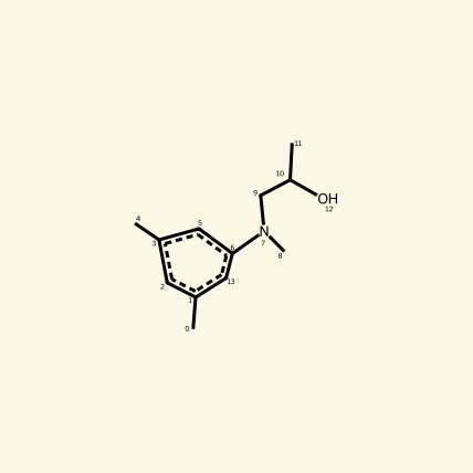 Cc1cc(C)cc(N(C)CC(C)O)c1